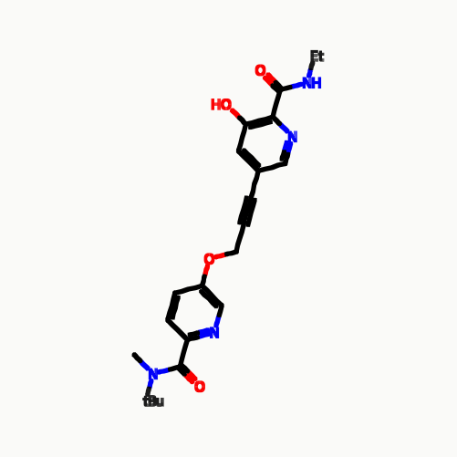 CCNC(=O)c1ncc(C#CCOc2ccc(C(=O)N(C)C(C)(C)C)nc2)cc1O